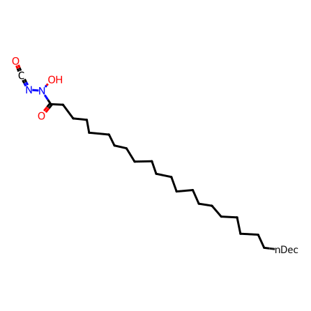 CCCCCCCCCCCCCCCCCCCCCCCCCCCCCCC(=O)N(O)N=C=O